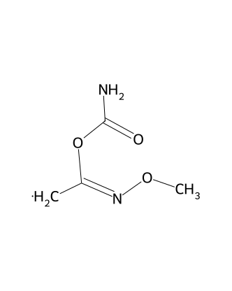 [CH2]C(=NOC)OC(N)=O